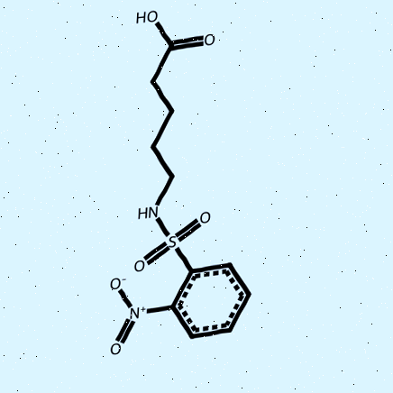 O=C(O)CCCCNS(=O)(=O)c1ccccc1[N+](=O)[O-]